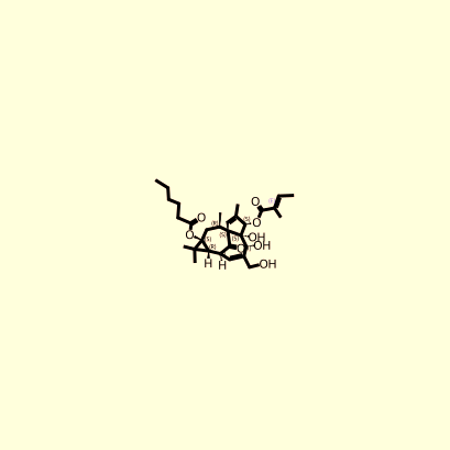 C/C=C(\C)C(=O)O[C@H]1C(C)=C[C@]23C(=O)[C@@H](C=C(CO)[C@@H](O)[C@]12O)[C@@H]1C(C)(C)[C@]1(OC(=O)CCCCC)C[C@H]3C